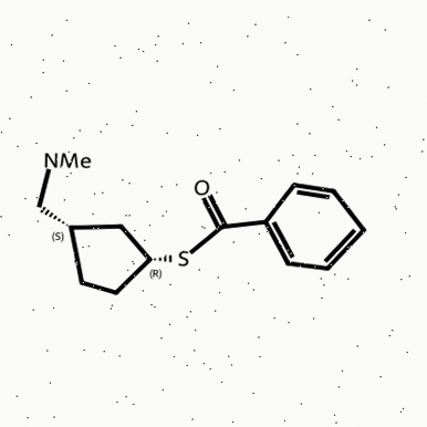 CNC[C@H]1CC[C@@H](SC(=O)c2ccccc2)C1